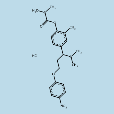 Cc1cc(C(CCOc2ccc([N+](=O)[O-])cc2)N(C)C)ccc1OC(=O)N(C)C.Cl